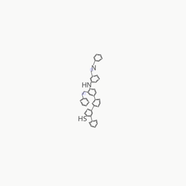 Sc1ccc(-c2cccc(-c3ccc(Nc4cccc(/C=N/Cc5ccccc5)c4)c(/C=C\c4ccccc4)c3)c2)cc1-c1ccccc1